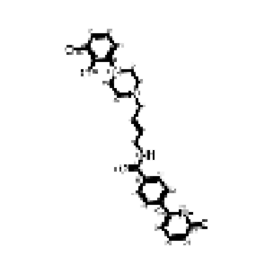 O=C(NCC=CCN1CCN(c2cccc(Cl)c2Cl)CC1)c1ccc(-c2cccc(=O)[nH]2)cc1